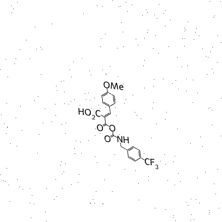 COc1ccc(/C=C(\C(=O)O)C(=O)OC(=O)NCc2ccc(C(F)(F)F)cc2)cc1